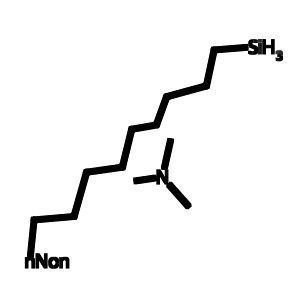 CCCCCCCCCCCCCCCCCC[SiH3].CN(C)C